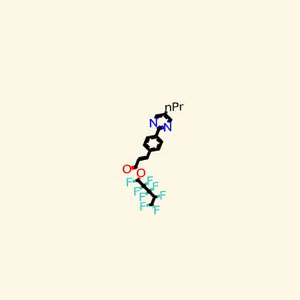 CCCc1cnc(-c2ccc(C=CC(=O)OC(F)C(F)(F)C(F)(F)C(F)C(F)F)cc2)nc1